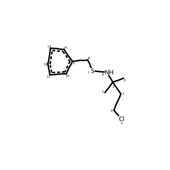 CC(C)(CCCl)NSCc1ccccc1